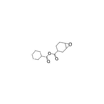 O=C(OC(=O)C1CCC2OC2C1)C1CCCCC1